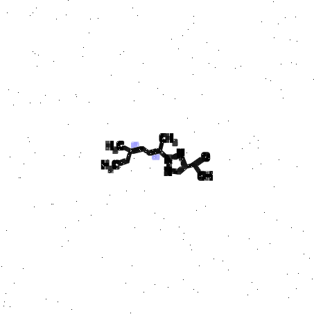 C=C/C(C)=C\C=C(/C)n1ncc(C(=O)O)n1